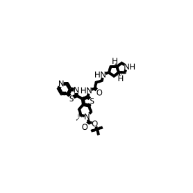 C[C@@H]1Cc2c(sc(NC(=O)CCNC3C[C@H]4CNC[C@H]4C3)c2-c2nc3cnccc3s2)CN1C(=O)OC(C)(C)C